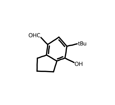 CC(C)(C)c1cc(C=O)c2c(c1O)CCC2